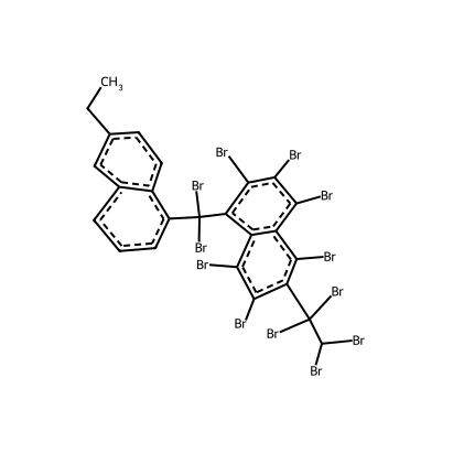 CCc1ccc2c(C(Br)(Br)c3c(Br)c(Br)c(Br)c4c(Br)c(C(Br)(Br)C(Br)Br)c(Br)c(Br)c34)cccc2c1